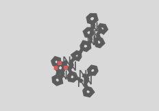 c1ccc(-c2cc(-c3cc(-c4nc(-c5ccccc5)nc(-c5ccccc5)n4)ccc3-n3c4ccccc4c4ccccc43)nc(-c3ccc(-c4ccc(N5c6ccccc6B6c7ccccc7N(c7ccccc7)c7cccc5c76)cc4)cc3)n2)cc1